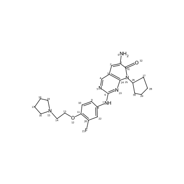 Nc1cc2cnc(Nc3ccc(OCCN4CCCC4)c(F)c3)nc2n(C2CCCC2)c1=O